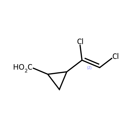 O=C(O)C1CC1/C(Cl)=C/Cl